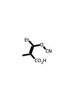 CCC(OC#N)=C(C)C(=O)O